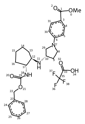 COC(=O)c1ccc(N2CC[C@H](N[C@@H]3CCCC[C@H]3NC(=O)OCc3ccccc3)C2)cc1.O=C(O)C(F)(F)F